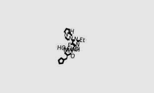 CCc1nc(NNC(=O)[C@@H](CC2CCCC2)CN(O)C=O)c(F)c(N2CCN3CCC[C@H]3C2)n1